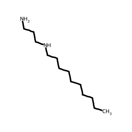 CCCCCCCCCCNCCCN